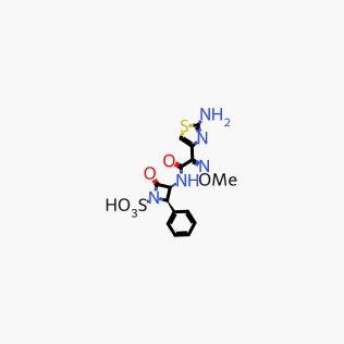 CON=C(C(=O)N[C@@H]1C(=O)N(S(=O)(=O)O)[C@@H]1c1ccccc1)c1csc(N)n1